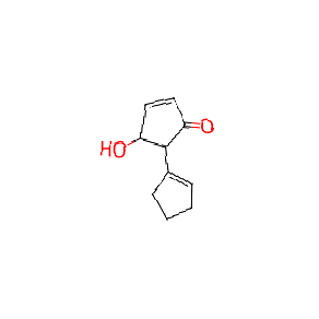 O=C1C=CC(O)C1C1=CCCC1